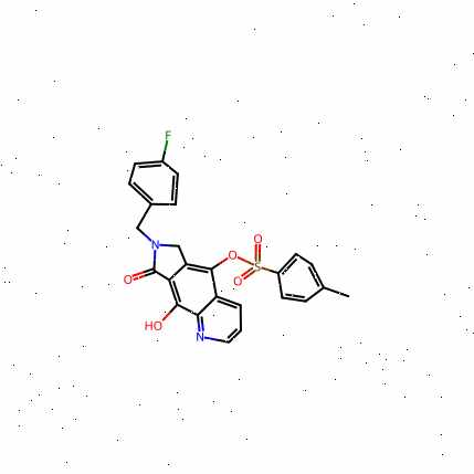 Cc1ccc(S(=O)(=O)Oc2c3c(c(O)c4ncccc24)C(=O)N(Cc2ccc(F)cc2)C3)cc1